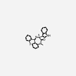 CN1C(=O)[C@@](C)(c2c[nH]c3ccccc23)N=C(c2ccccc2F)c2ccccc21